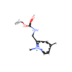 Cc1cc[n+](C)c(CNC(=O)OC(C)(C)C)c1